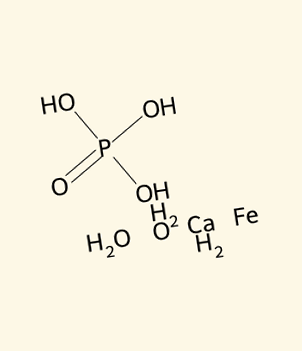 O.O.O=P(O)(O)O.[CaH2].[Fe]